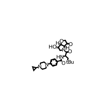 CC(C)(C)CC(NC(=O)c1ccc(N2CCN(C3CC3)CC2)cc1)C(=O)N1C[C@@H](O)[C@H]2OCC(=O)[C@H]21